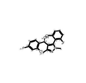 Cc1nn(C)c(-c2c(F)cccc2Cl)c1[C@H](O)c1ccc(F)cc1Cl